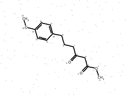 COC(=O)CC(=O)CCCc1ccc(OC)cc1